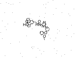 CCOc1ccccc1OC1CCCN(c2cncc(NC(=O)CCc3cc(Cl)c(C(=O)O)c(Cl)c3)n2)C1